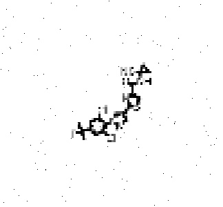 CC(C)(F)c1cc(Cl)c(-n2cc(-c3nc(C(=O)NC4(C#N)CC4)cs3)cn2)c(Cl)c1